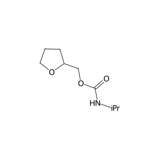 CC(C)NC(=O)OCC1CCCO1